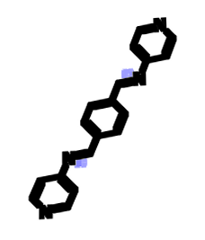 C(=N\c1ccncc1)/c1ccc(/C=N/c2ccncc2)cc1